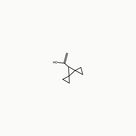 C=C(O)C1C2(CC2)C12CC2